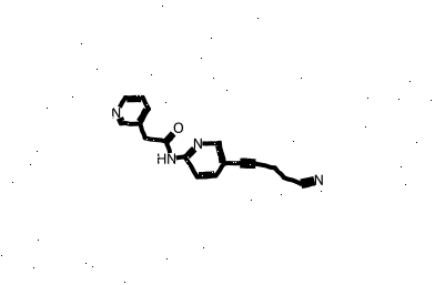 N#CCCC#Cc1ccc(NC(=O)Cc2cccnc2)nc1